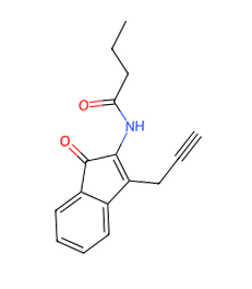 C#CCC1=C(NC(=O)CCC)C(=O)c2ccccc21